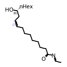 CC=NC(=O)CCCCCCC/C=C\C[C@H](O)CCCCCC